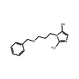 Cc1ncc(O)n1CCCOCc1ccccc1